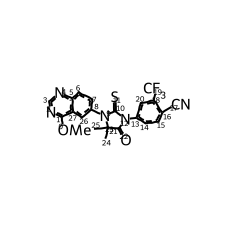 COc1ncnc2ccc(N3C(=S)N(c4ccc(C#N)c(C(F)(F)F)c4)C(=O)C3(C)C)cc12